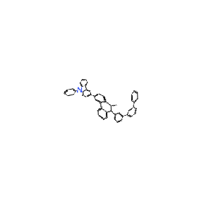 CC1c2ccc(-c3ccc4c(c3)c3ccccc3n4-c3ccccc3)cc2-c2ccccc2C1c1cccc(-c2cccc(-c3ccccc3)c2)c1